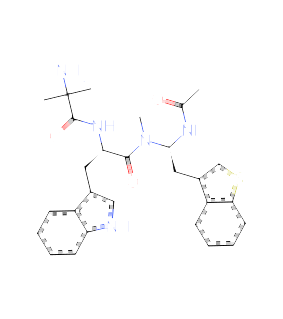 CC(=O)N[C@@H](Cc1csc2ccccc12)N(C)C(=O)[C@@H](Cc1c[nH]c2ccccc12)NC(=O)C(C)(C)N